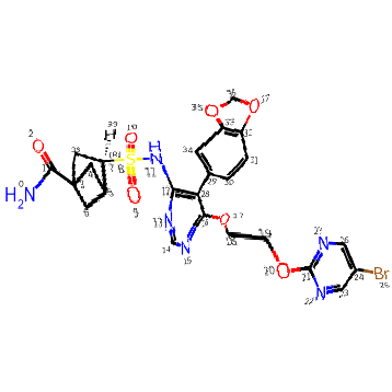 NC(=O)C12CC(C1)[C@H](S(=O)(=O)Nc1ncnc(OCCOc3ncc(Br)cn3)c1-c1ccc3c(c1)OCO3)C2